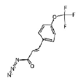 [N-]=[N+]=NC(=O)/C=C/c1ccc(OC(F)(F)F)cc1